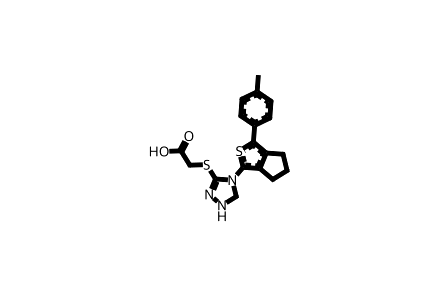 Cc1ccc(-c2sc(N3CNN=C3SCC(=O)O)c3c2CCC3)cc1